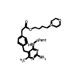 CCCCCNc1nc(N)nc(C)c1Cc1ccc(CC(=O)OCCCCN2CCOCC2)cc1